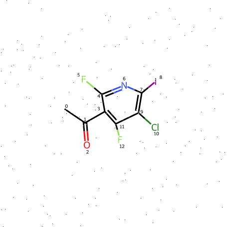 CC(=O)c1c(F)nc(I)c(Cl)c1F